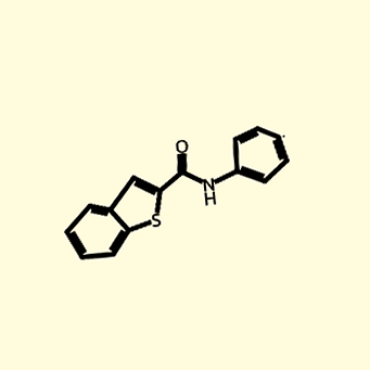 O=C(Nc1cc[c]cc1)c1cc2ccccc2s1